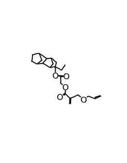 C=CCOCC(=C)C(=O)OCC(=O)OC1(CC)CC2CC1C1C3CCC(C3)C21